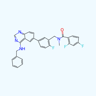 CN(Cc1cc(-c2ccc3ncnc(NCc4ccccc4)c3c2)ccc1F)C(=O)c1ccc(F)cc1F